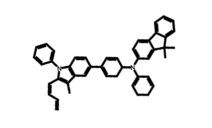 C=C/C=C\c1c(C)c2cc(C3=CCC(N(C4=CCCC=C4)c4ccc5c(c4)C(C)(C)c4ccccc4-5)C=C3)ccc2n1-c1ccccc1